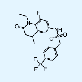 CCN1C(=O)CC(C)c2cc(NS(=O)(=O)Cc3ccc(C(F)(F)F)cc3)cc(F)c21